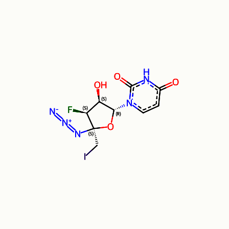 [N-]=[N+]=N[C@]1(CI)O[C@@H](n2ccc(=O)[nH]c2=O)[C@H](O)[C@@H]1F